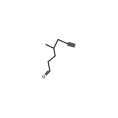 C#CCC(C)CCC=O